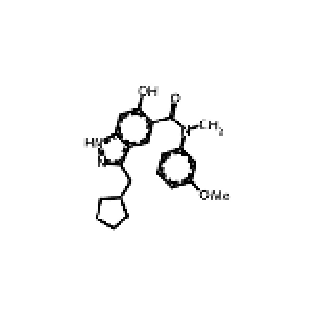 COc1cccc(N(C)C(=O)c2cc3c(CC4CCCC4)n[nH]c3cc2O)c1